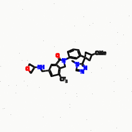 COC1CC(c2cccc(N3Cc4c(cc(CNC5COC5)cc4C(F)(F)F)C3=O)c2)(c2nncn2C)C1